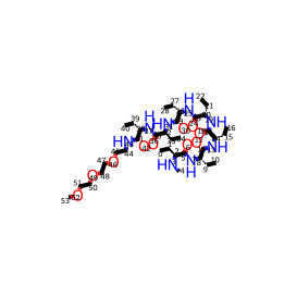 CC[C@H](NC)C(=O)N[C@@H](CC)C(=O)N[C@@H](CC)C(=O)N[C@@H](CC)C(=O)N[C@@H](CC)C(=O)N[C@@H](CC)C(=O)N[C@@H](CC)C(=O)NCCOCCOCCOC